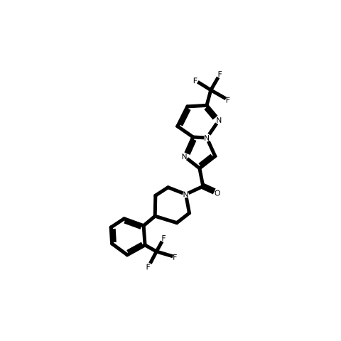 O=C(c1cn2nc(C(F)(F)F)ccc2n1)N1CCC(c2ccccc2C(F)(F)F)CC1